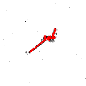 CC[C@H](C)[C@@H]([C@@H](CC(=O)N1CCC[C@H]1[C@H](OC)[C@@H](C)C(=O)N[C@@H](Cc1ccccc1)C(=O)Nc1ccc(CNC(=O)CCCCCN2C(=O)C=CC2=O)cc1)OC)N(C)C(=O)[C@@H](NC(=O)[C@@H]1[C@H]2CC[C@H](C2)N1C(=O)CCOCCOCCOCCOCCOCCOCCOCCOCCOCCOCCOCCOC)C(C)C